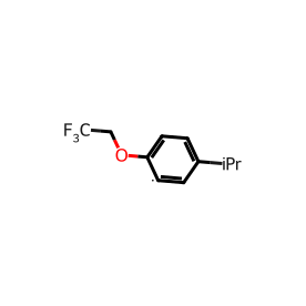 CC(C)c1c[c]c(OCC(F)(F)F)cc1